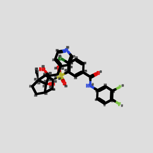 O=C(Nc1ccc(F)c(F)c1)c1ccc(Cl)c(S(=O)(=O)[C@@H]2CC3CC[C@@H](C2)[C@@]3(O)C(O)Cc2ccncc2)c1